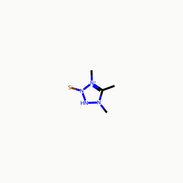 CC1=[N+](C)N([S-])NN1C